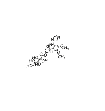 CCOc1cc2c(cc1OC)C(c1cnccn1)=N[C@@H]1CC[C@@H](OC(=O)[C@H](O)[C@@H](O)[C@H](O)[C@H](O)CO)C[C@H]21